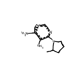 CC1CCCN1c1ncnc(N)c1N